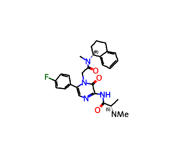 CN[C@@H](C)C(=O)Nc1ncc(-c2ccc(F)cc2)n(CC(=O)N(C)[C@@H]2CCCc3ccccc32)c1=O